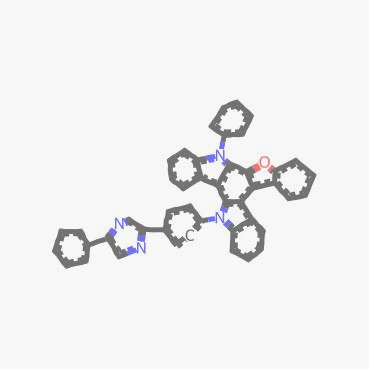 c1ccc(-c2cnc(-c3ccc(-n4c5ccccc5c5c6c7ccccc7oc6c6c(c7ccccc7n6-c6ccccc6)c54)cc3)cn2)cc1